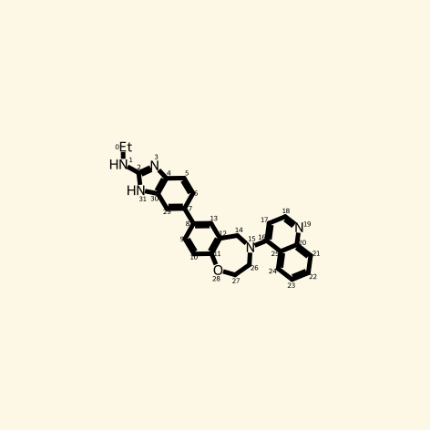 CCNc1nc2ccc(-c3ccc4c(c3)CN(c3ccnc5ccccc35)CCO4)cc2[nH]1